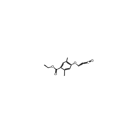 CCOC(=O)c1cc(C)c(OC=C=C=O)cc1C